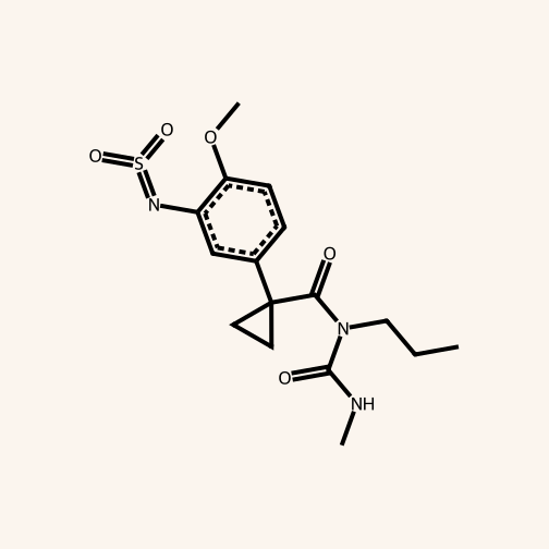 CCCN(C(=O)NC)C(=O)C1(c2ccc(OC)c(N=S(=O)=O)c2)CC1